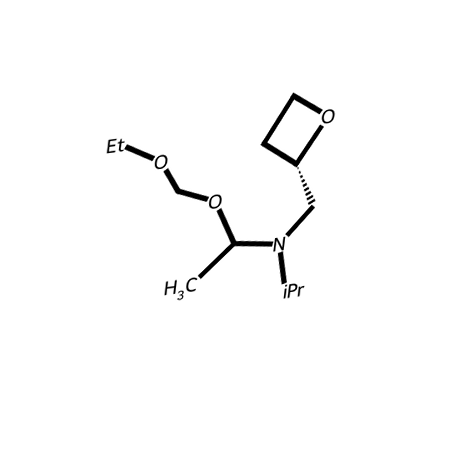 CCOCOC(C)N(C[C@@H]1CCO1)C(C)C